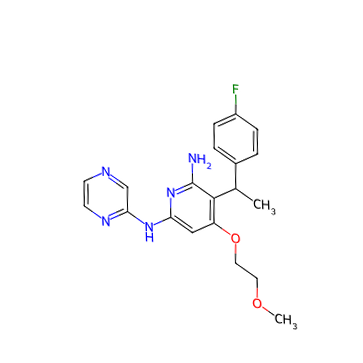 COCCOc1cc(Nc2cnccn2)nc(N)c1C(C)c1ccc(F)cc1